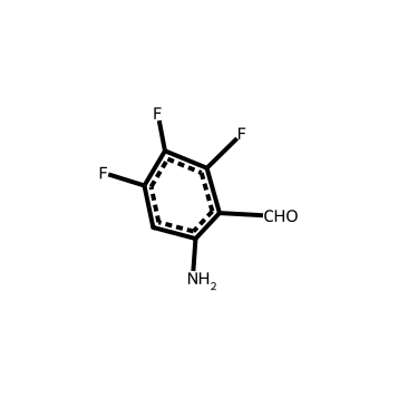 Nc1cc(F)c(F)c(F)c1C=O